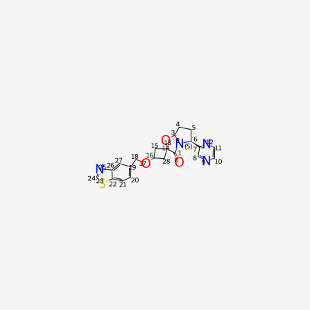 O=C1N2C(CC[C@H]2c2cnccn2)OC12CC(OCc1ccc3scnc3c1)C2